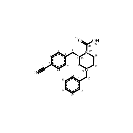 N#Cc1ccc(C[C@@H]2CN(Cc3ccccc3)CCN2C(=O)O)cc1